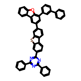 c1ccc(-c2cccc(-c3cc(-c4ccc5c(c4)sc4cc(-c6nc(-c7ccccc7)nc(-c7ccccc7)n6)ccc45)cc4c3oc3ccccc34)c2)cc1